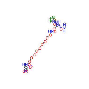 CC(C)(C)N1CCNC(C(=O)N2CCN(C(=O)Nc3nc(C(F)(F)F)c(Cl)s3)C(CCOC(=O)NCCOCCOCCOCCOCCOCCOCCOCCOCCOCCNc3ccc([N+](=O)[O-])cc3[N+](=O)[O-])C2)C1